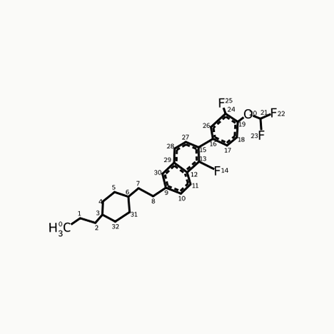 CCCC1CCC(CCc2ccc3c(F)c(-c4ccc(OC(F)F)c(F)c4)ccc3c2)CC1